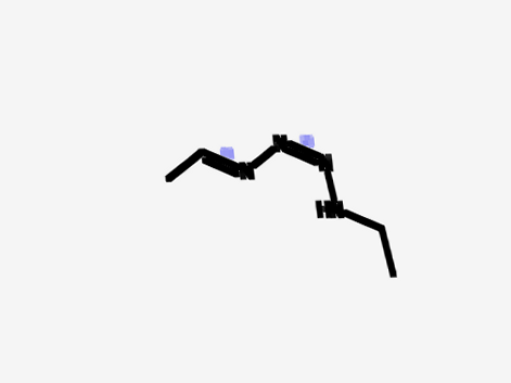 C/C=N/N=N\NCC